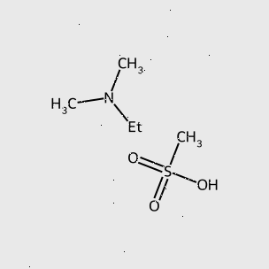 CCN(C)C.CS(=O)(=O)O